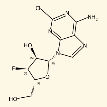 Nc1nc(Cl)nc2c1ncn2[C@@H]1O[C@H](CO)[C@@H](F)[C@H]1O